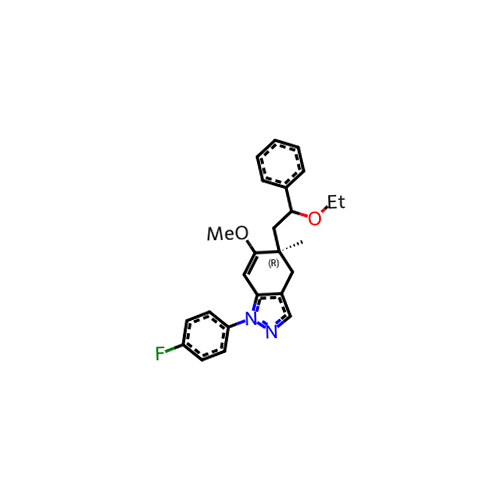 CCOC(C[C@@]1(C)Cc2cnn(-c3ccc(F)cc3)c2C=C1OC)c1ccccc1